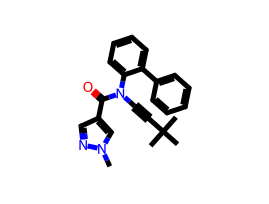 Cn1cc(C(=O)N(C#CC(C)(C)C)c2ccccc2-c2ccccc2)cn1